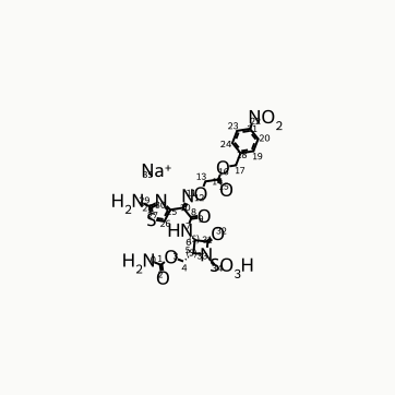 NC(=O)OC[C@@H]1[C@H](NC(=O)C(=NOCC(=O)OCc2ccc([N+](=O)[O-])cc2)c2csc(N)n2)C(=O)N1S(=O)(=O)O.[Na+]